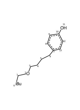 CCC(C)COCCCCc1ccc(O)cc1